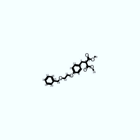 COC(=O)C(Cc1ccc(OCCOCc2ccccc2)cc1)C(=O)OC